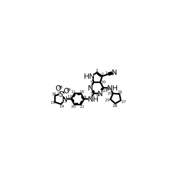 N#CC1=CNC2N=C(Nc3ccc(N4CCCS4(=O)=O)cc3)N=C(NC3CCCC3)C12